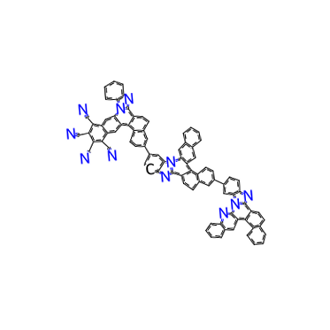 N#Cc1c(C#N)c(C#N)c2cc3c(cc2c1C#N)c1c2ccc(-c4ccc5nc6c7ccc8cc(-c9ccc%10nc%11c%12ccc%13ccccc%13c%12c%12cc%13ccccc%13nc%12n%11c%10c9)ccc8c7c7cc8ccccc8cc7n6c5c4)cc2ccc1c1nc2ccccc2n31